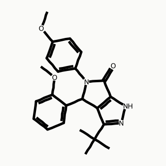 COc1ccc(N2C(=O)c3[nH]nc(C(C)(C)C)c3C2c2ccccc2OC)cc1